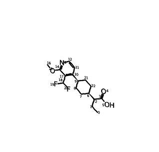 CCC(C(=O)O)[C@H]1CC[C@@H](c2ccnc(OC)c2C(F)F)CC1